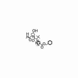 CNC(=O)C1CC(O)CN1C(=O)C(n1cc(C(=O)OCc2ccccc2)nn1)C(C)(C)C